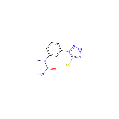 CN(C(N)=O)c1cccc(-n2nnnc2S)c1